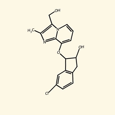 Cc1nc2c(OC3c4cc(Cl)ccc4CC3O)cccn2c1CO